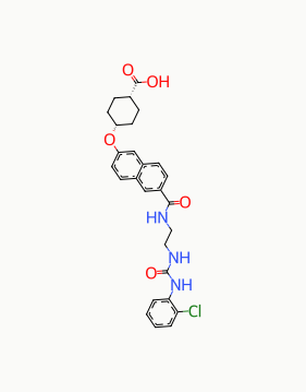 O=C(NCCNC(=O)c1ccc2cc(O[C@H]3CC[C@@H](C(=O)O)CC3)ccc2c1)Nc1ccccc1Cl